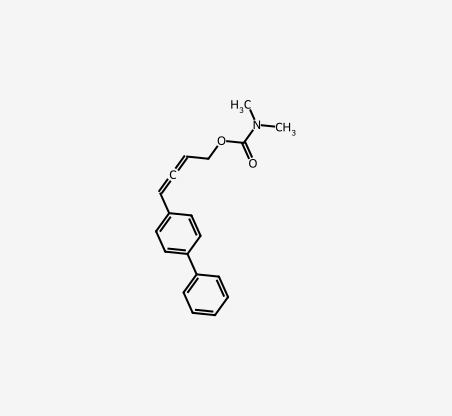 CN(C)C(=O)OCC=C=Cc1ccc(-c2ccccc2)cc1